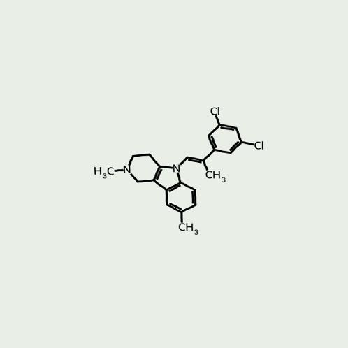 CC(=Cn1c2c(c3cc(C)ccc31)CN(C)CC2)c1cc(Cl)cc(Cl)c1